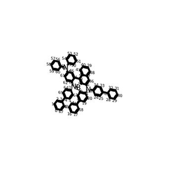 c1ccc(-c2ccc(N3B4c5cc(-c6ccccc6)ccc5N(c5ccc(-c6ccccc6)cc5)c5cc6ccccc6c(c54)-c4cc(N(c5ccccc5)c5ccccc5)ccc43)cc2)cc1